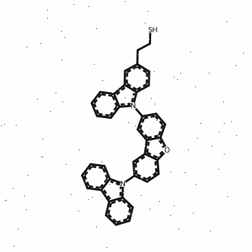 SCCc1ccc2c(c1)c1ccccc1n2-c1ccc2oc3ccc(-n4c5ccccc5c5ccccc54)cc3c2c1